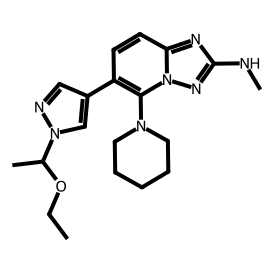 CCOC(C)n1cc(-c2ccc3nc(NC)nn3c2N2CCCCC2)cn1